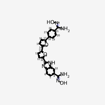 N/C(=N\O)c1ccc2nc(-c3ccc(-c4ccc(-c5ccc(/C(N)=N\O)cc5)o4)o3)[nH]c2c1